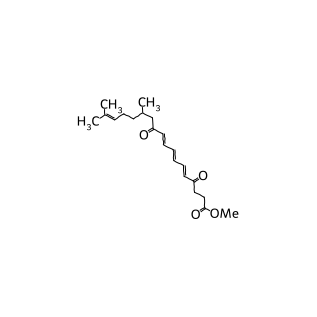 COC(=O)CCC(=O)C=CC=CC=CC(=O)CC(C)CCC=C(C)C